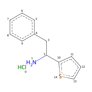 Cl.NC(Cc1ccccc1)c1cccs1